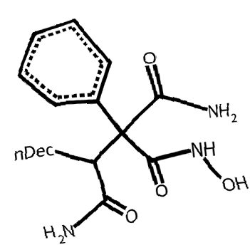 CCCCCCCCCCC(C(N)=O)C(C(N)=O)(C(=O)NO)c1ccccc1